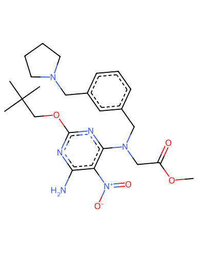 COC(=O)CN(Cc1cccc(CN2CCCC2)c1)c1nc(OCC(C)(C)C)nc(N)c1[N+](=O)[O-]